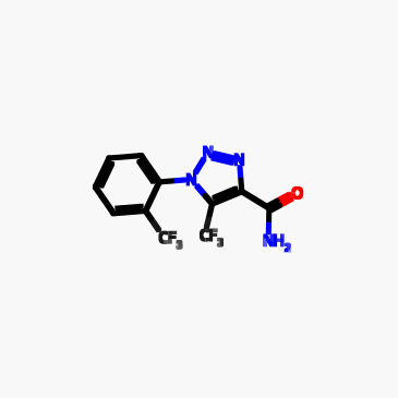 NC(=O)c1nnn(-c2ccccc2C(F)(F)F)c1C(F)(F)F